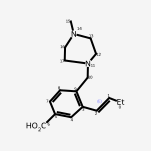 CC/C=C/c1cc(C(=O)O)ccc1CN1CCN(C)CC1